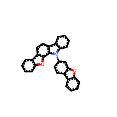 c1ccc2c(c1)oc1cc(-n3c4ccccc4c4ccc5c6ccccc6oc5c43)ccc12